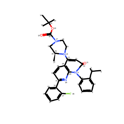 CC(C)c1ccccc1-n1c(=O)cc(N2CCN(C(=O)OC(C)(C)C)C[C@@H]2C)c2ccc(-c3ccccc3F)nc21